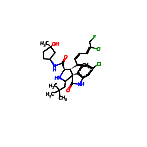 C=C(/C=C\C=C(\Cl)CF)[C@H]1[C@H](C(=O)N[C@H]2CC[C@@](C)(O)C2)N[C@H](CC(C)(C)C)[C@]12C(=O)Nc1cc(Cl)ccc12